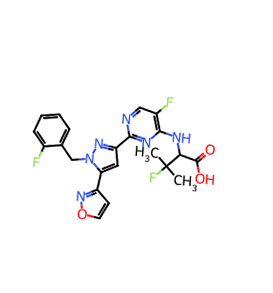 CC(C)(F)C(Nc1nc(-c2cc(-c3ccon3)n(Cc3ccccc3F)n2)ncc1F)C(=O)O